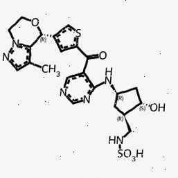 Cc1cnn2c1[C@@H](c1csc(C(=O)c3cncnc3N[C@H]3C[C@H](O)[C@@H]([CH]NS(=O)(=O)O)C3)c1)OCC2